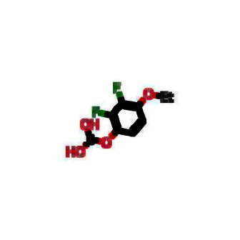 CCOc1ccc(OB(O)O)c(F)c1F